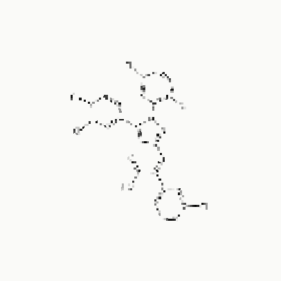 O=C(O)C(=Cc1cc(-c2ccc(Cl)c(Cl)c2)n(-c2cc(Cl)ccc2Cl)n1)c1cccc(Cl)c1